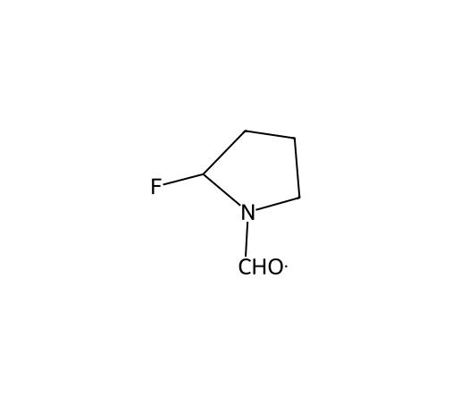 O=[C]N1CCCC1F